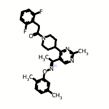 C/C(=N\Oc1cc(C)ccc1C)c1cnc(C)nc1C1CCN(C(=O)Cc2c(F)cccc2F)CC1